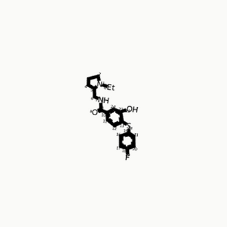 CCN1CCCC1CNC(=O)c1ccc(Sc2ccc(F)cc2)c(O)c1